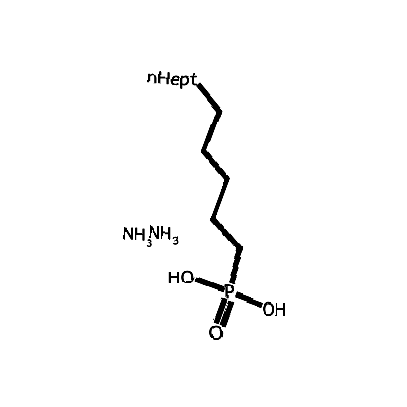 CCCCCCCCCCCCP(=O)(O)O.N.N